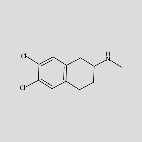 CNC1CCc2cc(Cl)c(Cl)cc2C1